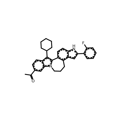 CC(=O)c1ccc2c(C3CCCCC3)c3n(c2c1)CCCc1c-3ccc2[nH]c(-c3ccccc3F)cc12